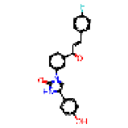 O=C(/C=C/c1ccc(F)cc1)c1cccc(-n2cc(-c3ccc(O)cc3)[nH]c2=O)c1